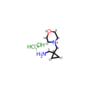 Cl.Cl.NCC1(CN2CCOCC2)CC1